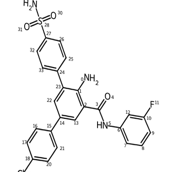 Nc1c(C(=O)Nc2cccc(F)c2)cc(-c2ccc(Cl)cc2)cc1-c1ccc(S(N)(=O)=O)cc1